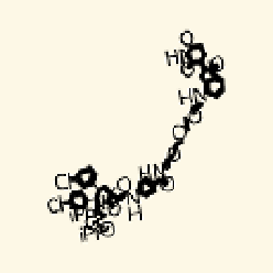 CC(C)C(CS(=O)(=O)C(C)C)N1C(=O)[C@@](C)(CC(=O)Nc2ccc(C(=O)NCCOCCOCCOCCNc3cccc4c3CN(C3CCC(=O)NC3=O)C4=O)cc2)C[C@H](c2cccc(Cl)c2)[C@H]1c1ccc(Cl)cc1